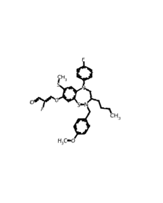 CCCCC1CN(c2ccc(F)cc2)c2cc(SC)c(O/C=C(\F)C=O)cc2SN1Cc1ccc(OC)cc1